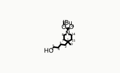 CC1(CCCCO)CCN(C(=O)OC(C)(C)C)CC1